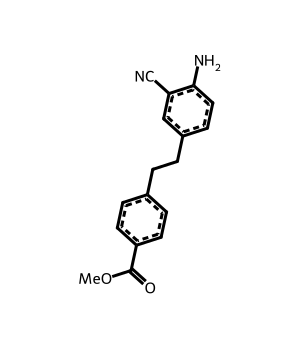 COC(=O)c1ccc(CCc2ccc(N)c(C#N)c2)cc1